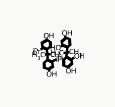 CC(C)(c1ccc(O)cc1O)c1ccc(O)cc1O.CC(C)c1cc(O)ccc1C(C)(C)c1ccc(O)cc1C(C)C